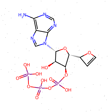 Nc1ncnc2c1ncn2[C@@H]1O[C@H](C2C=CO2)[C@@H](OP(=O)(O)OP(=O)(O)OP(=O)(O)O)[C@H]1O